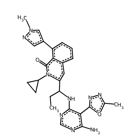 CCC(Nc1ncnc(N)c1-c1nnc(C)o1)c1cc2cccc(-c3cnn(C)c3)c2c(=O)n1C1CC1